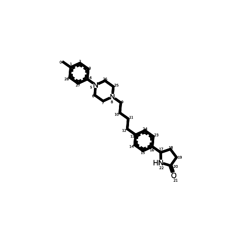 Cc1ccc(N2CCN(CCCCc3ccc(C4CCC(=O)N4)cc3)CC2)cc1